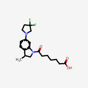 CC1CN(C(=O)CCCCCC(=O)O)c2cc(N3CCC(F)(F)C3)ccc21